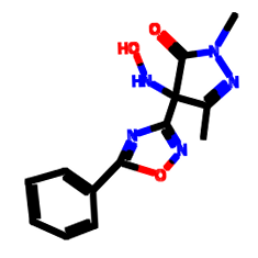 CC1=NN(C)C(=O)C1(NO)c1noc(-c2ccccc2)n1